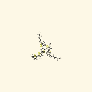 CCCCCCc1ccc(-c2cc(C)sc2-c2sc(-c3ccc(-c4ccc(C)s4)s3)cc2-c2ccc(CCCCCC)s2)s1